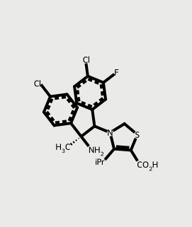 CC(C)C1=C(C(=O)O)SCN1C(c1ccc(Cl)c(F)c1)[C@@](C)(N)c1ccc(Cl)cc1